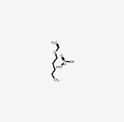 C=COCCCCC.O=[PH](O)O